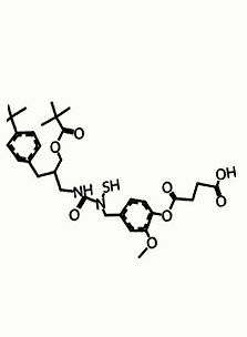 COc1cc(CN(S)C(=O)NCC(COC(=O)C(C)(C)C)Cc2ccc(C(C)(C)C)cc2)ccc1OC(=O)CCC(=O)O